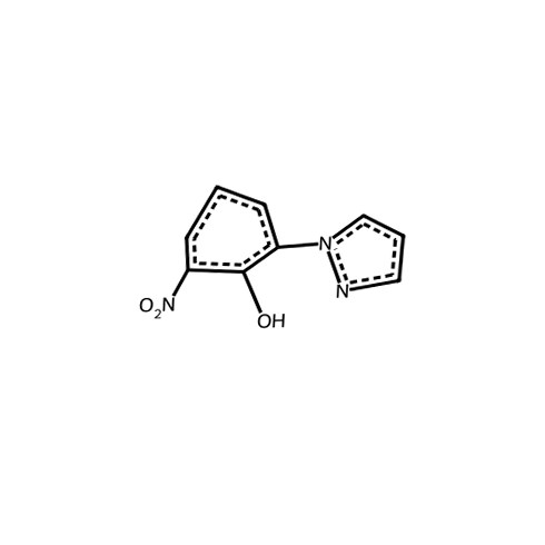 O=[N+]([O-])c1cccc(-n2cccn2)c1O